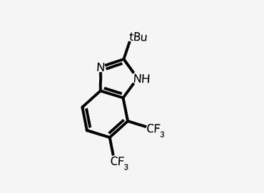 CC(C)(C)c1nc2ccc(C(F)(F)F)c(C(F)(F)F)c2[nH]1